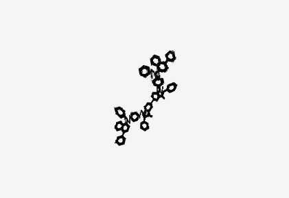 Cc1c(-c2ccccc2)n(-c2ccc(N(c3ccccc3)c3ccc(-c4ccccc4)c4ccccc34)cc2)c2ccc(-c3ccc4c(c3)c(C)c(-c3ccccc3)n4-c3ccc(N(c4ccccc4)c4ccc(-c5ccccc5)c5ccccc45)cc3)cc12